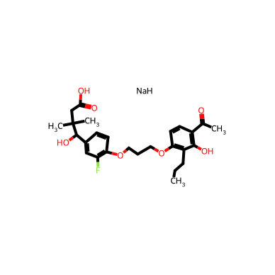 CCCc1c(OCCCOc2ccc(C(O)C(C)(C)CC(=O)O)cc2F)ccc(C(C)=O)c1O.[NaH]